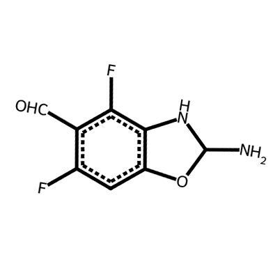 NC1Nc2c(cc(F)c(C=O)c2F)O1